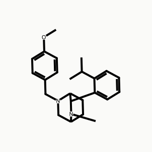 COc1ccc(CN2CC3CCC2C(c2ccccc2C(C)C)N3C)cc1